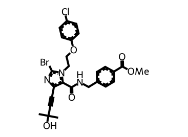 COC(=O)c1ccc(CNC(=O)c2c(C#CC(C)(C)O)nc(Br)n2CCOc2ccc(Cl)cc2)cc1